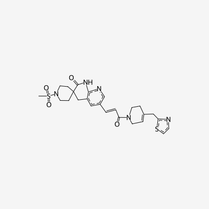 CS(=O)(=O)N1CCC2(CC1)Cc1cc(/C=C/C(=O)N3CC=C(Cc4nccs4)CC3)cnc1NC2=O